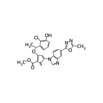 COC(=O)c1sc(-n2cnc3cc(-c4nnc(C)o4)ccc32)cc1OC(C)c1cccc(O)c1Cl